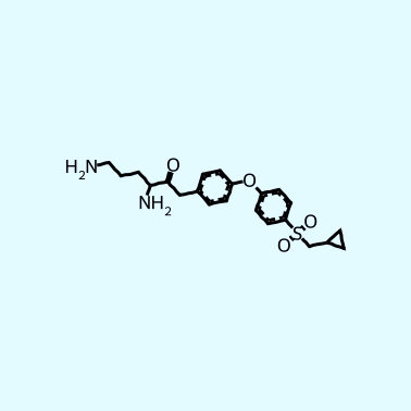 NCCCC(N)C(=O)Cc1ccc(Oc2ccc(S(=O)(=O)CC3CC3)cc2)cc1